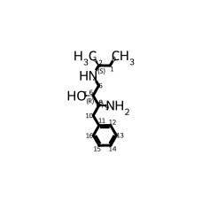 CC[C@H](C)NC[C@@H](O)[C@@H](N)Cc1ccccc1